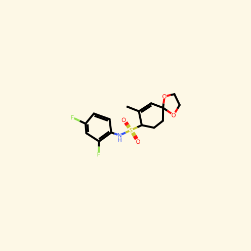 CC1=CC2(CCC1S(=O)(=O)Nc1ccc(F)cc1F)OCCO2